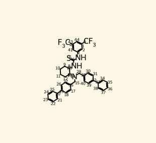 FC(F)(F)c1cc(NC(=S)N[C@@H]2CCCC[C@H]2N(Cc2ccc(-c3ccccc3)cc2)Cc2ccc(-c3ccccc3)cc2)cc(C(F)(F)F)c1